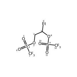 CCC(COS(=O)(=O)C(F)(F)F)OS(=O)(=O)C(F)(F)F